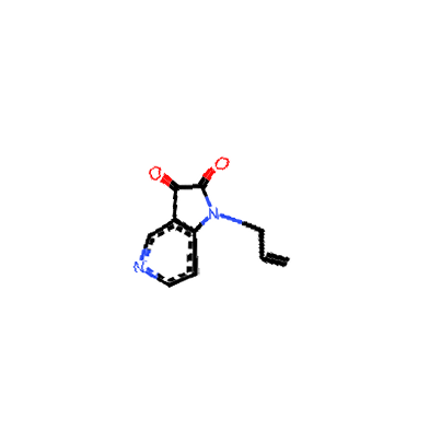 C=CCN1C(=O)C(=O)c2cnccc21